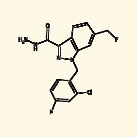 NNC(=O)c1nn(Cc2ccc(F)cc2Cl)c2cc(CF)ccc12